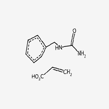 C=CC(=O)O.NC(=O)NCc1ccccc1